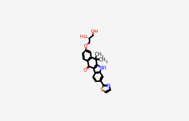 CC1(C)c2cc(OC[C@H](O)CO)ccc2C(=O)c2c1[nH]c1cc(-c3nccs3)ccc21